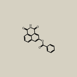 O=C(Oc1cc2c3c(cccc3c1)C(=O)NC2=O)c1ccccc1